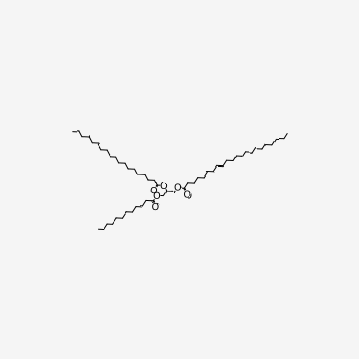 CCCCCCCCCCCCCCCCCCCCCC(=O)OC[C@@H](COC(=O)CCCCCCCCCCC)OC(=O)CCCCCCCCCCCCCCCCCC